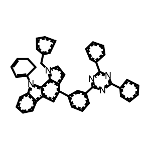 C1=CCCC(n2c3ccccc3c3cc(-c4cccc(-c5nc(-c6ccccc6)nc(-c6ccccc6)n5)c4)c4ccn(Cc5ccccc5)c4c32)=C1